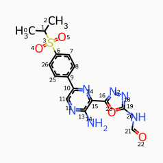 CC(C)S(=O)(=O)c1ccc(-c2cnc(N)c(-c3nnc(NC=O)o3)n2)cc1